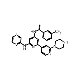 C=C(Nc1cc(Nc2cnccn2)nc(-c2ccnc(N3CCNCC3)c2)c1)c1cccc(C(F)(F)F)c1